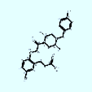 C[C@@H]1CN(Cc2ccc(F)cc2)[C@@H](C)CN1C(=O)COc1ccc(Br)cc1CCC(=O)O